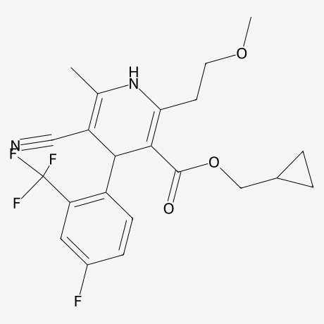 COCCC1=C(C(=O)OCC2CC2)C(c2ccc(F)cc2C(F)(F)F)C(C#N)=C(C)N1